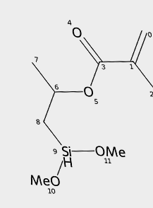 C=C(C)C(=O)OC(C)C[SiH](OC)OC